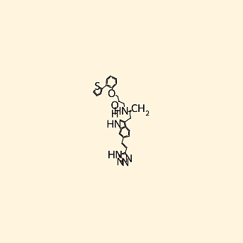 C=C(Cc1c[nH]c2cc(/C=C/c3nnn[nH]3)ccc12)NC[C@H](O)COc1ccccc1-c1cccs1